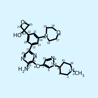 CN1CCC(n2cc(Oc3nc(-c4cc(N5CCOCC5)cc(C5(O)COC5)c4)cnc3N)cn2)CC1